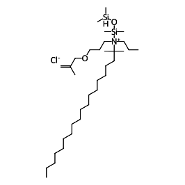 C=C(C)COCCC[N+](CCC)(C(C)(C)CCCCCCCCCCCCCCCCC)[Si](C)(C)O[SiH](C)C.[Cl-]